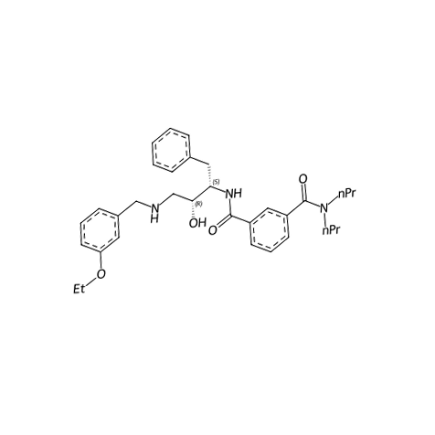 CCCN(CCC)C(=O)c1cccc(C(=O)N[C@@H](Cc2ccccc2)[C@H](O)CNCc2cccc(OCC)c2)c1